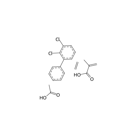 C=C.C=C(C)C(=O)O.CC(=O)O.Clc1cccc(-c2ccccc2)c1Cl